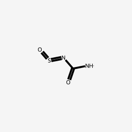 [NH]C(=O)N=S=O